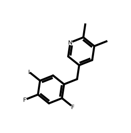 Cc1cc(Cc2cc(I)c(F)cc2F)cnc1C